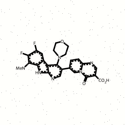 CNc1c(F)c(F)cc2c1[nH]c1ncc(-c3ccc4ncc(C(=O)O)c(=O)n4c3)c(N3CCOCC3)c12